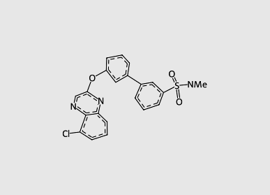 CNS(=O)(=O)c1cccc(-c2cccc(Oc3cnc4c(Cl)cccc4n3)c2)c1